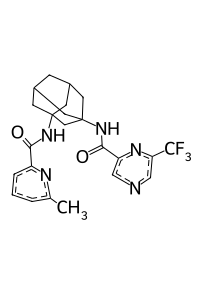 Cc1cccc(C(=O)NC23CC4CC(C2)CC(NC(=O)c2cncc(C(F)(F)F)n2)(C4)C3)n1